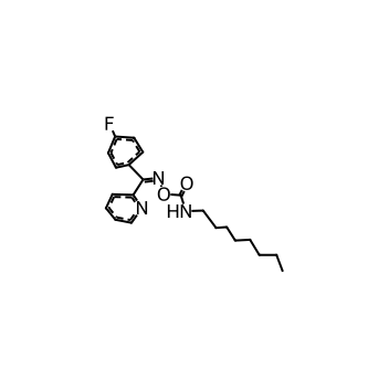 CCCCCCCCNC(=O)ON=C(c1ccc(F)cc1)c1ccccn1